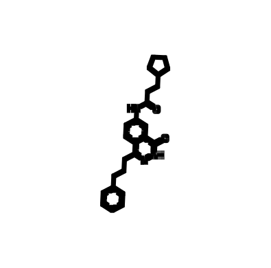 O=C(CCC1CCCC1)Nc1ccc2c(CCCc3ccccc3)n[nH]c(=O)c2c1